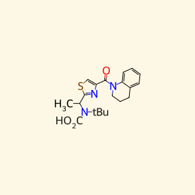 CC(c1nc(C(=O)N2CCCc3ccccc32)cs1)N(C(=O)O)C(C)(C)C